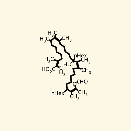 CCCCCCC(CCCCCC(C)=C(C)C(C)(CCCCCC)CCCCCC(C)=C(C)C(C)CCCCC/C(C)=C(\C)C(=O)O)C(C)=C(C)OC=O